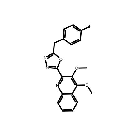 COc1c(-c2nnc(Cc3ccc(F)cc3)o2)nc2ccccc2c1OC